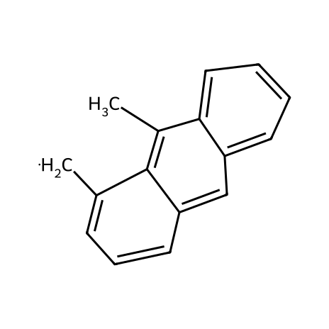 [CH2]c1cccc2cc3ccccc3c(C)c12